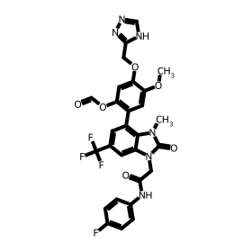 COc1cc(-c2cc(C(F)(F)F)cc3c2n(C)c(=O)n3CC(=O)Nc2ccc(F)cc2)c(OC=O)cc1OCc1nnc[nH]1